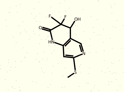 CSc1cc2c(cn1)C(O)C(F)(F)C(=O)N2